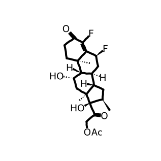 CC(=O)OCC(=O)[C@@]1(O)[C@H](C)C[C@H]2[C@@H]3C[C@H](F)C4=C(F)C(=O)CC[C@]4(C)[C@H]3[C@@H](O)C[C@@]21C